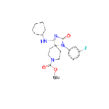 CC(C)(C)OC(=O)N1CCC2(CC1)C(NC1CCCCC1)=NC(=O)N2c1cccc(F)c1